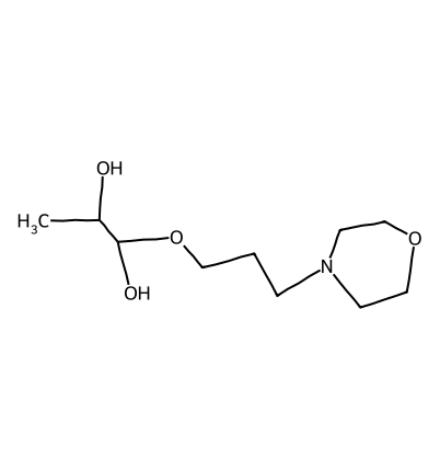 CC(O)C(O)OCCCN1CCOCC1